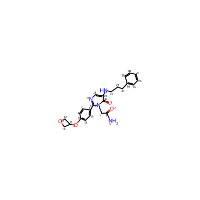 NC(=O)Cn1c(-c2ccc(OC3COC3)cc2)ncc(NCCCc2ccccc2)c1=O